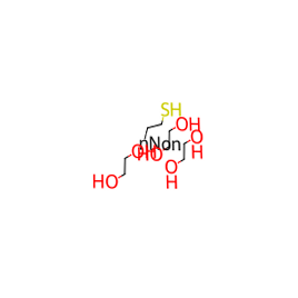 CCCCCCCCCCCS.OCCO.OCCO.OCCO